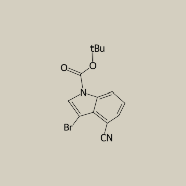 CC(C)(C)OC(=O)n1cc(Br)c2c(C#N)cccc21